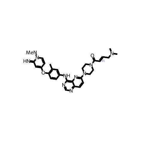 CNn1ccc(Oc2ccc(Nc3ncnc4ccc(N5CCN(C(=O)/C=C/CN(C)C)CC5)nc34)cc2C)cc1=N